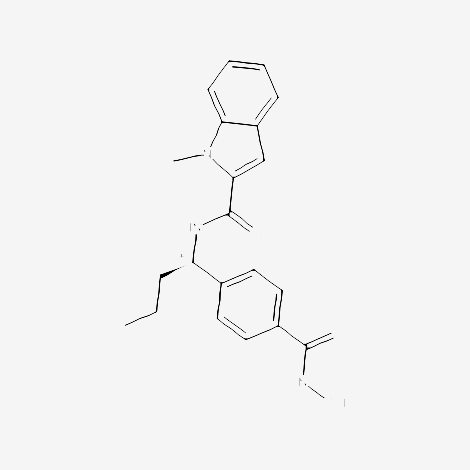 CCC[C@@H](NC(=O)c1cc2ccccc2n1C)c1ccc(C(=O)NO)cc1